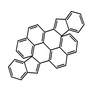 C1=C(c2ccc3ccccc3c2-c2c(C3=Cc4ccccc4C3)ccc3ccccc23)Cc2ccccc21